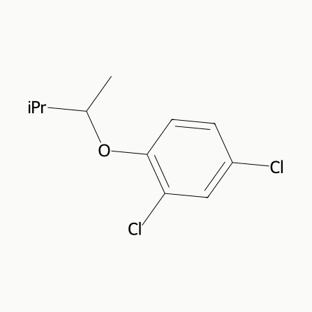 CC(C)C(C)Oc1ccc(Cl)cc1Cl